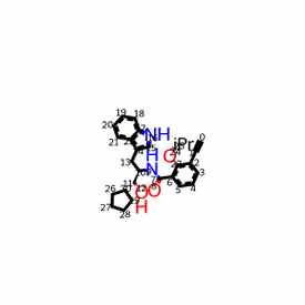 C#Cc1cccc(C(=O)N[C@@H](CO)Cc2c[nH]c3ccccc23)c1OC(C)C.C1CCCC1